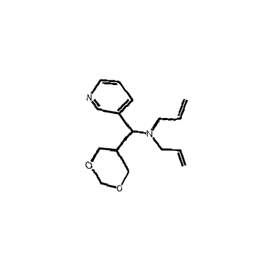 C=CCN(CC=C)C(c1cccnc1)C1COCOC1